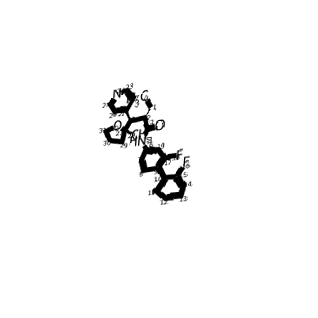 CC[C@H](C(=O)Nc1ccc(-c2ccccc2F)c(F)c1)[C@H](c1ccncc1)[C@]1(C)CCCO1